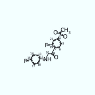 CS(=O)(=O)c1ccc(C(=O)CNc2ccc(F)cc2)c(F)c1